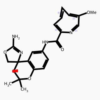 COC1=C\C=C\C=C(C(=O)Nc2ccc3c(c2)C2(COC(N)=N2)C2(COC2)C(C)(C)O3)/N=C\1